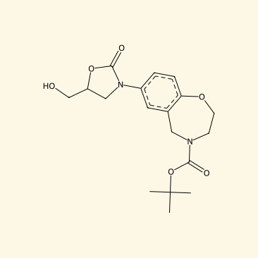 CC(C)(C)OC(=O)N1CCOc2ccc(N3CC(CO)OC3=O)cc2C1